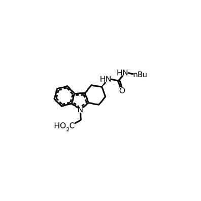 CCCCNC(=O)N[C@H]1CCc2c(c3ccccc3n2CC(=O)O)C1